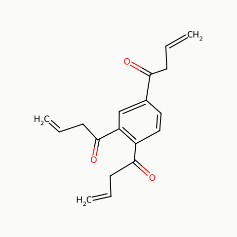 C=CCC(=O)c1ccc(C(=O)CC=C)c(C(=O)CC=C)c1